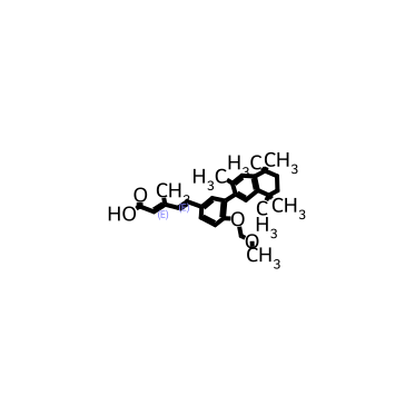 COCOc1ccc(/C=C/C(C)=C/C(=O)O)cc1-c1cc2c(cc1C)C(C)(C)CCC2(C)C